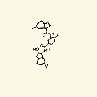 COc1ccc2c(c1)[C@H](NC(=O)c1ccc(F)c(NC(=O)c3cnc4ccc(C)cn34)c1)[C@H](O)C2